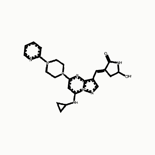 O=C1NC(O)C/C1=C\c1cnn2c(NC3CC3)cc(N3CCN(c4ccccn4)CC3)nc12